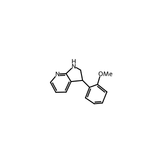 COc1ccccc1C1CNc2ncccc21